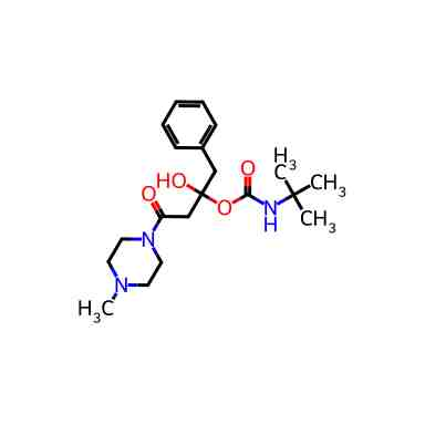 CN1CCN(C(=O)CC(O)(Cc2ccccc2)OC(=O)NC(C)(C)C)CC1